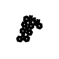 c1ccc([Si](c2ccccc2)(c2cccc(-n3c4ccccc4c4ccccc43)c2)c2ccc3c(c2)n2c(nc4ccccc42)sc2nc4ccccc4n23)cc1